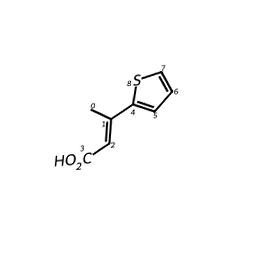 CC(=CC(=O)O)c1cccs1